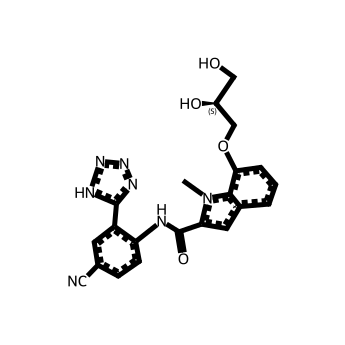 Cn1c(C(=O)Nc2ccc(C#N)cc2-c2nnn[nH]2)cc2cccc(OC[C@@H](O)CO)c21